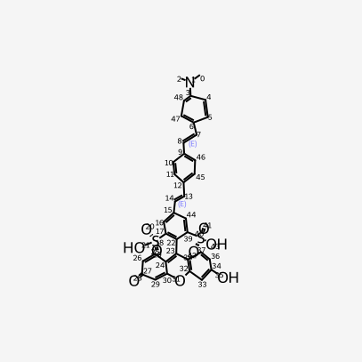 CN(C)c1ccc(/C=C/c2ccc(/C=C/c3cc(S(=O)(=O)O)c(-c4c5ccc(=O)cc-5oc5cc(O)ccc45)c(S(=O)(=O)O)c3)cc2)cc1